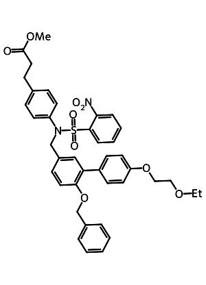 CCOCCOc1ccc(-c2cc(CN(c3ccc(CCC(=O)OC)cc3)S(=O)(=O)c3ccccc3[N+](=O)[O-])ccc2OCc2ccccc2)cc1